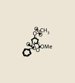 COC(=O)[C@@H]1C[C@H](OS(C)(=O)=O)CN1S(=O)(=O)c1ccccc1